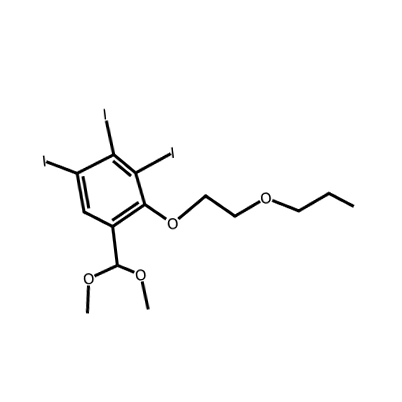 CCCOCCOc1c(C(OC)OC)cc(I)c(I)c1I